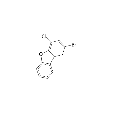 ClC1=C2Oc3ccccc3C2CC(Br)=C1